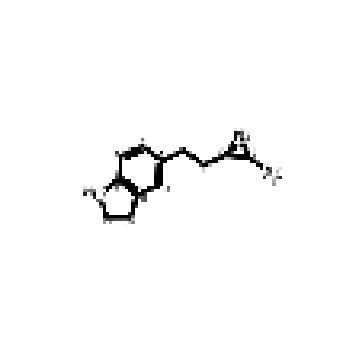 CC(=O)C1N=C1CCc1ccc2c(c1)CCO2